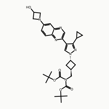 CC(C)(C)OC(=O)N(C[C@H]1C[C@H](n2cc(-c3cnc4cc(N5CC(O)C5)ccc4n3)c(C3CC3)n2)C1)C(=O)OC(C)(C)C